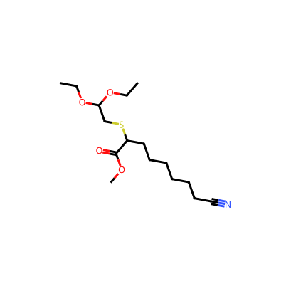 CCOC(CSC(CCCCCCC#N)C(=O)OC)OCC